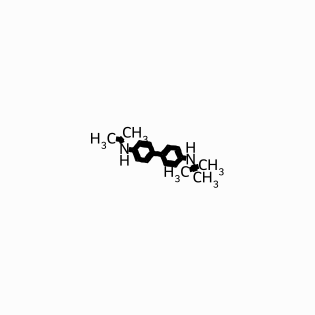 CC(C)Nc1ccc(-c2ccc(NC(C)(C)C)cc2)cc1